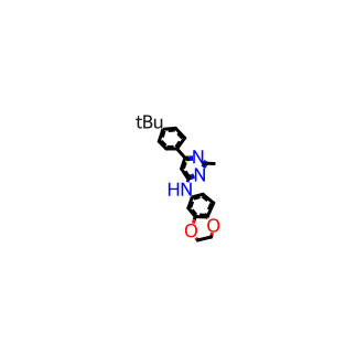 Cc1nc(Nc2ccc3c(c2)OCCO3)cc(-c2ccc(C(C)(C)C)cc2)n1